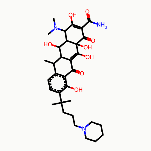 CC1c2ccc(C(C)(C)CCCN3CCCCC3)c(O)c2C(=O)C2=C(O)C3(O)C(=O)C(C(N)=O)=C(O)C(N(C)C)C3C(O)C21